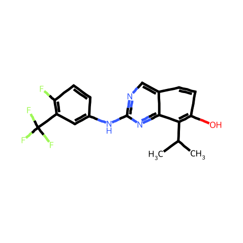 CC(C)c1c(O)ccc2cnc(Nc3ccc(F)c(C(F)(F)F)c3)nc12